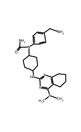 CN(C)c1nc(NC2CCC(N(C(N)=O)c3ccc(CN)cc3)CC2)nc2c1CCCC2